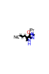 CC(C)Oc1ncnc2[nH]cc(C/C=C/C#N)c12